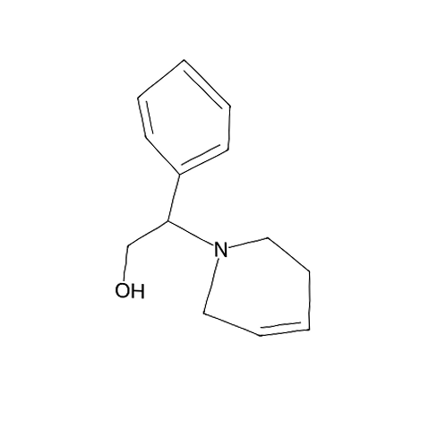 OCC(c1ccccc1)N1CC=CCC1